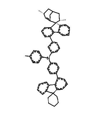 Cc1ccc(N(c2ccc(-c3cccc4c3-c3ccccc3C43CCCCC3)cc2)c2cccc(-c3cccc4c3-c3ccccc3[C@@]43C4=C[C@H](C)CC(C4)C[C@@H]3C)c2)cc1